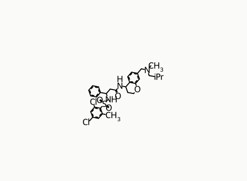 Cc1cc(Cl)cc(Cl)c1S(=O)(=O)NC(CC(=O)NC1CCOc2cc(CN(C)CC(C)C)ccc21)c1ccccc1